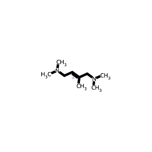 C/C(=C\CN(C)C)CN(C)C